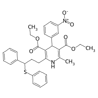 CCOC(=O)C1=C(C)NC(CCC(Sc2ccccc2)c2ccccc2)=C(C(=O)OCC)C1c1cccc([N+](=O)[O-])c1